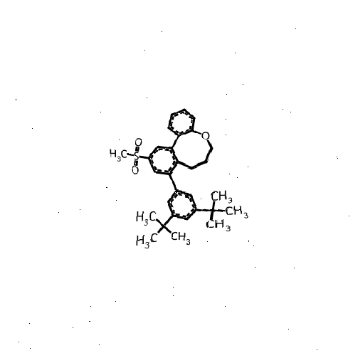 CC(C)(C)c1cc(-c2cc(S(C)(=O)=O)cc3c2CCCOc2ccccc2-3)cc(C(C)(C)C)c1